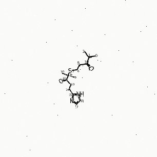 CC(C)C(=O)CCSC(C)(C)C(=O)CCc1ncc[nH]1